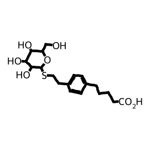 O=C(O)CCCCc1ccc(CCSC2OC(CO)C(O)C(O)C2O)cc1